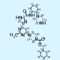 Cc1nc(-c2c[nH]c(C(=O)Nc3ccccc3N3CCNCC3)n2)cc(N2CCN(C(=O)OCc3ccccc3)CC2)n1